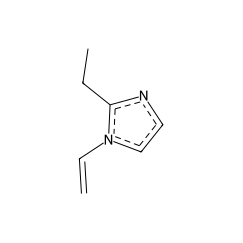 C=Cn1ccnc1CC